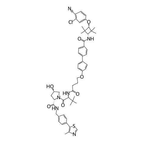 Cc1ncsc1-c1ccc(CNC(=O)[C@@H]2C[C@@H](O)CN2C(=O)[C@@H](NC(=O)CCCOc2ccc(-c3ccc(C(=O)N[C@H]4C(C)(C)[C@H](Oc5ccc(C#N)c(Cl)c5)C4(C)C)cc3)cc2)C(C)(C)C)cc1